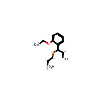 CCCCCCCCCCCOc1ccccc1C(CC(=O)O)SCCC(=O)O